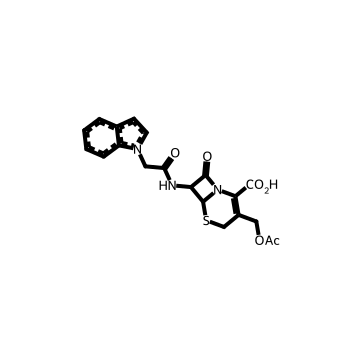 CC(=O)OCC1=C(C(=O)O)N2C(=O)C(NC(=O)Cn3ccc4ccccc43)C2SC1